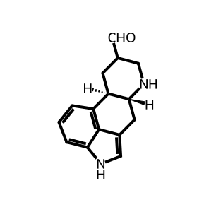 O=CC1CN[C@@H]2Cc3c[nH]c4cccc(c34)[C@H]2C1